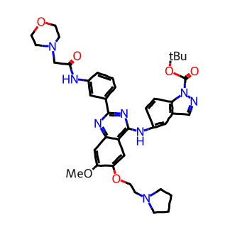 COc1cc2nc(-c3cccc(NC(=O)CN4CCOCC4)c3)nc(Nc3ccc4c(cnn4C(=O)OC(C)(C)C)c3)c2cc1OCCN1CCCC1